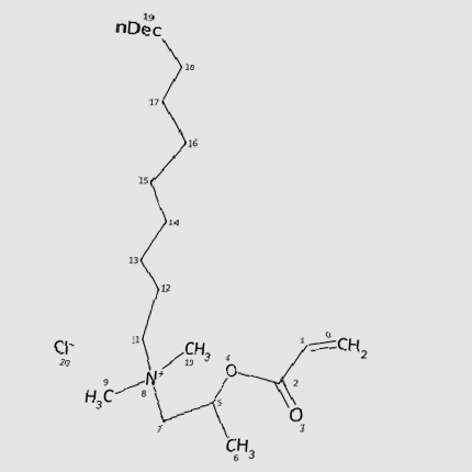 C=CC(=O)OC(C)C[N+](C)(C)CCCCCCCCCCCCCCCCCC.[Cl-]